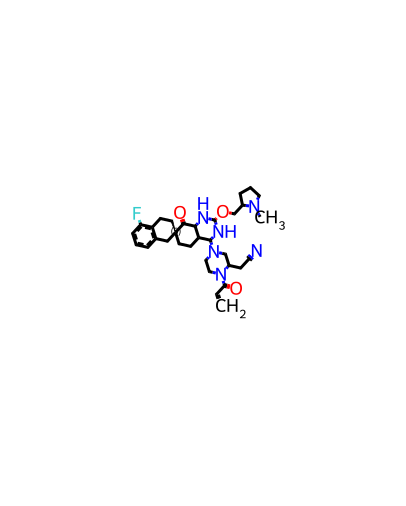 C=CC(=O)N1CCN(C2NC(OCC3CCCN3C)NC3C(=O)[C@]4(CCc5c(F)cccc5C4)CCC32)CC1CC#N